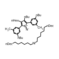 CCCCCCC1=C(c2cc(C)cc(CCCC)c2)[N+](=[N-])C(c2cc(C)cc(CCCC)c2)=C1CCCC.CCCCCCCCCCCCCCC[CH2][Ni][CH2]CCCCCCCCCCCCCCC